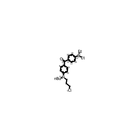 CCCCN(CCCCl)c1ccc(C(=O)c2ccc(N(CC)CC)cc2)cc1